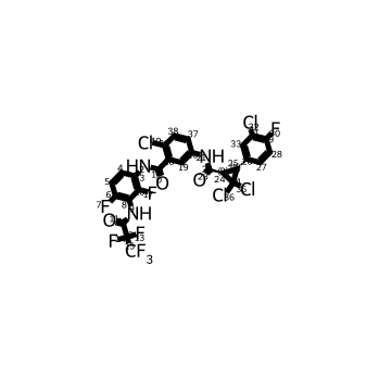 O=C(Nc1ccc(F)c(NC(=O)C(F)(F)C(F)(F)F)c1F)c1cc(NC(=O)[C@H]2[C@H](c3ccc(F)c(Cl)c3)C2(Cl)Cl)ccc1Cl